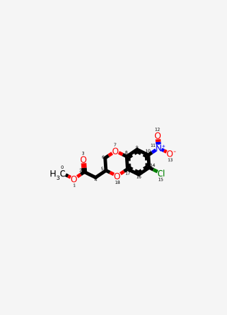 COC(=O)CC1COc2cc([N+](=O)[O-])c(Cl)cc2O1